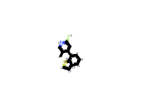 Cc1cnc(F)cc1-c1cccc2ccsc12